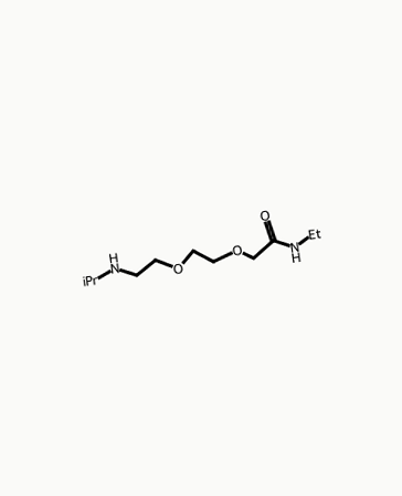 CCNC(=O)COCCOCCNC(C)C